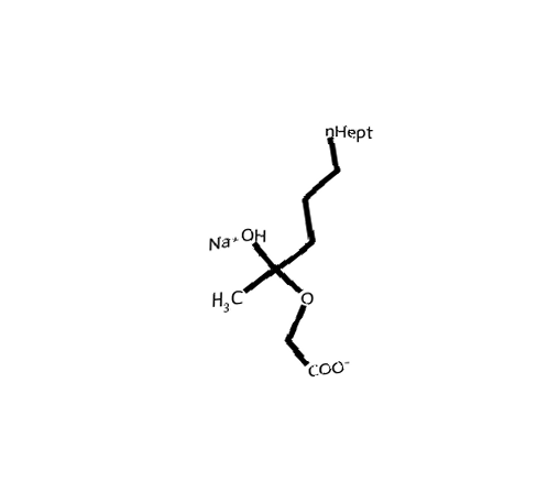 CCCCCCCCCCC(C)(O)OCC(=O)[O-].[Na+]